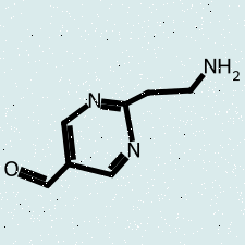 NCCc1ncc(C=O)cn1